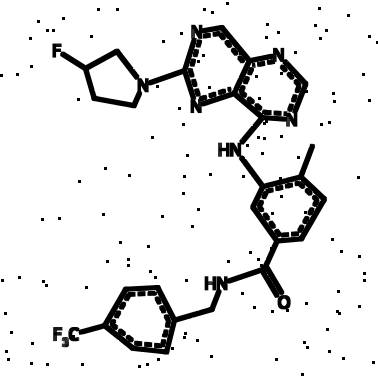 Cc1ccc(C(=O)NCc2ccc(C(F)(F)F)cc2)cc1Nc1ncnc2cnc(N3CCC(F)C3)nc12